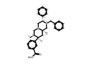 COC(=O)c1cccc([C@]2(C)C[C@@H]3CN(Cc4ccccc4)[C@@H](c4ccccc4)CN3C[C@@H]2C)c1